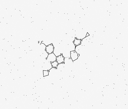 Fc1cc(C(F)(F)F)ccc1-c1nc([C@H]2CCO[C@H](c3cnn(C4CC4)c3)C2)nc2nc(N3CCC3)sc12